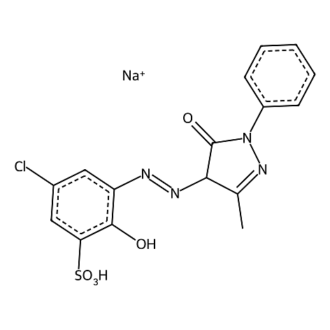 CC1=NN(c2ccccc2)C(=O)C1N=Nc1cc(Cl)cc(S(=O)(=O)O)c1O.[Na+]